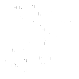 CC(C)OC[C@H]1O[C@@H](n2cnc3c(N)ncnc32)C(O)[C@H]1OP(=O)(O)OC[C@H]1O[C@@H](n2cnc3c(=O)[nH]c(N)nc32)C2OP(=O)(O)O[C@H]21